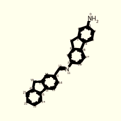 Nc1ccc2c(c1)Cc1cc(N=Cc3ccc4c(c3)Cc3ccccc3-4)ccc1-2